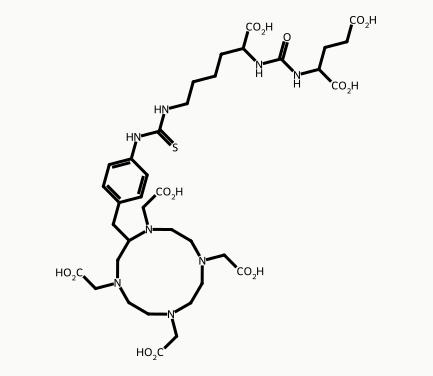 O=C(O)CCC(NC(=O)NC(CCCCNC(=S)Nc1ccc(CC2CN(CC(=O)O)CCN(CC(=O)O)CCN(CC(=O)O)CCN2CC(=O)O)cc1)C(=O)O)C(=O)O